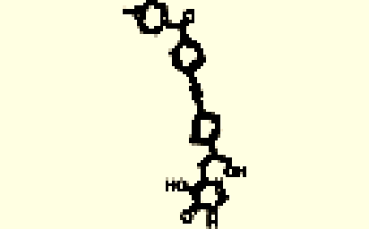 CN1CCN(C(=O)c2ccc(C#Cc3ccc(C(CO)Cc4nc[nH]c(=O)c4O)cc3)cc2)CC1